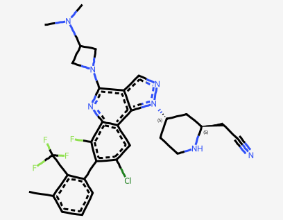 Cc1cccc(-c2c(Cl)cc3c(nc(N4CC(N(C)C)C4)c4cnn([C@H]5CCN[C@H](CC#N)C5)c43)c2F)c1C(F)(F)F